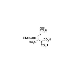 O=C(O)CCC(C(=O)O)C(C(=O)O)C(=O)O.[NaH].[NaH].[NaH].[NaH]